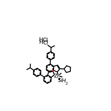 CC1=Cc2c(-c3ccc(C(C)C)cc3)cccc2[CH]1[Zr]([CH3])([CH3])(=[SiH2])[CH]1C(C2CCCC2)=Cc2c(-c3ccc(C(C)C)cc3)cccc21.Cl.Cl